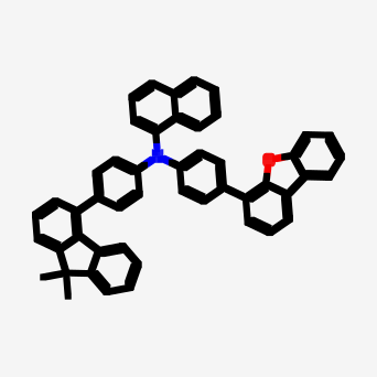 CC1(C)c2ccccc2-c2c(-c3ccc(N(c4ccc(-c5cccc6c5oc5ccccc56)cc4)c4cccc5ccccc45)cc3)cccc21